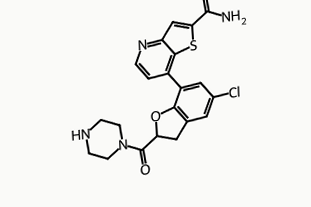 NC(=O)c1cc2nccc(-c3cc(Cl)cc4c3OC(C(=O)N3CCNCC3)C4)c2s1